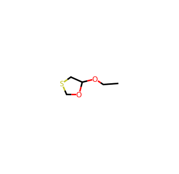 CCOC1CSCO1